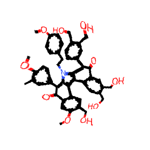 COc1ccc(CCn2c3c(c4c2=C(c2ccc(OC)c(C)c2)C(=O)c2cc(OC)c(CO)cc2-4)-c2cc(CO)c(CO)cc2C(=O)C=3c2ccc(CO)c(CO)c2)cc1